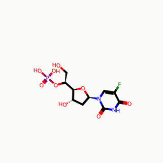 O=c1[nH]c(=O)n([C@H]2C[C@H](O)[C@@H]([C@H](CO)OP(=O)(O)O)O2)cc1F